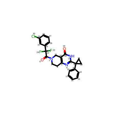 O=C(N1CCc2nc(C3(c4ccccc4)CC3)[nH]c(=O)c2C1)C(F)(F)c1cccc(Cl)c1